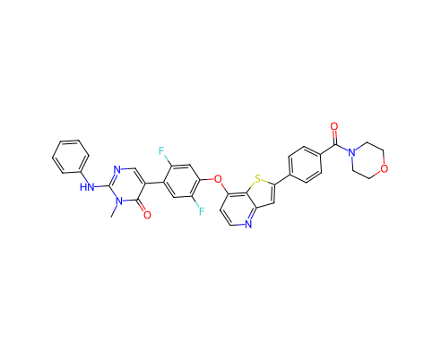 Cn1c(Nc2ccccc2)ncc(-c2cc(F)c(Oc3ccnc4cc(-c5ccc(C(=O)N6CCOCC6)cc5)sc34)cc2F)c1=O